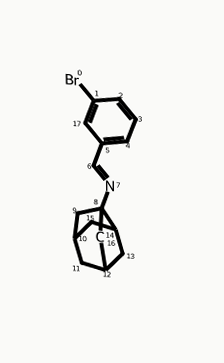 Brc1cccc(/C=N/C23CC4CC(CC2C4)C3)c1